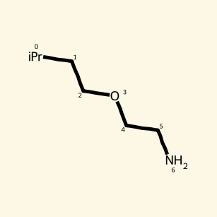 CC(C)CCOCCN